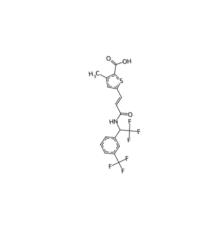 Cc1cc(/C=C/C(=O)NC(c2cccc(C(F)(F)F)c2)C(F)(F)F)sc1C(=O)O